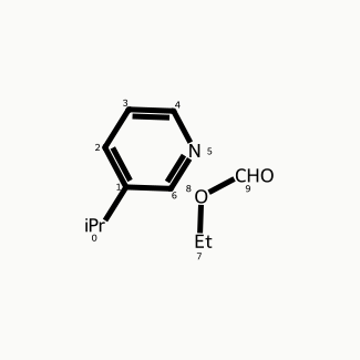 CC(C)c1cccnc1.CCOC=O